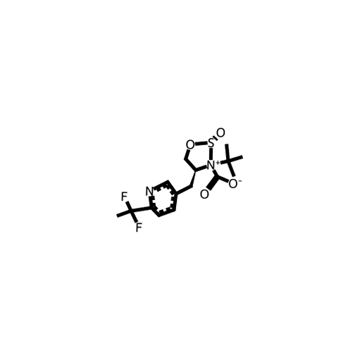 CC(F)(F)c1ccc(C[C@H]2COS(=O)[N+]2(C(=O)[O-])C(C)(C)C)cn1